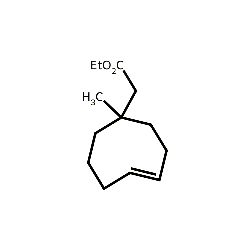 CCOC(=O)CC1(C)CC/C=C/CCC1